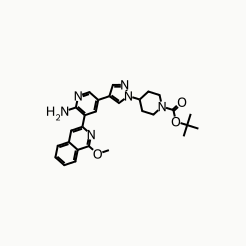 COc1nc(-c2cc(-c3cnn(C4CCN(C(=O)OC(C)(C)C)CC4)c3)cnc2N)cc2ccccc12